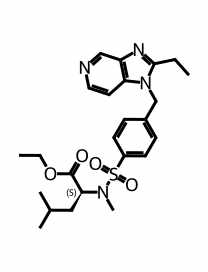 CCOC(=O)[C@H](CC(C)C)N(C)S(=O)(=O)c1ccc(Cn2c(CC)nc3cnccc32)cc1